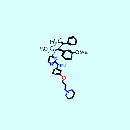 COc1cccc([C@H](C(C)c2ccccc2)N(C(=O)O)c2ccnc(Nc3cccc(OCCCN4CCCCC4)c3)n2)c1